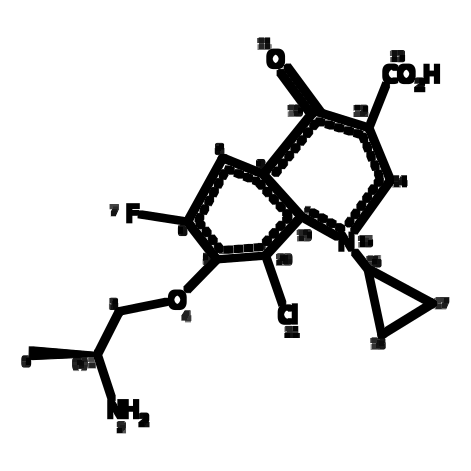 C[C@H](N)COc1c(F)cc2c(=O)c(C(=O)O)cn(C3CC3)c2c1Cl